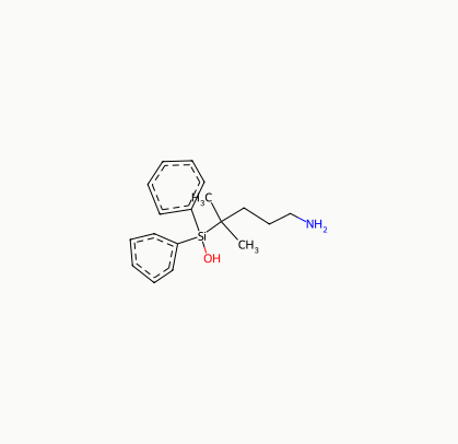 CC(C)(CCCN)[Si](O)(c1ccccc1)c1ccccc1